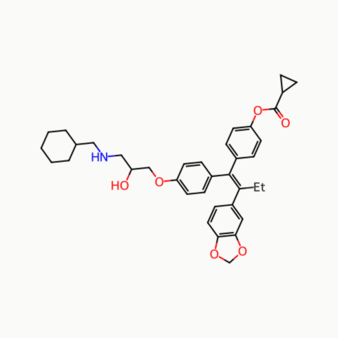 CC/C(=C(/c1ccc(OCC(O)CNCC2CCCCC2)cc1)c1ccc(OC(=O)C2CC2)cc1)c1ccc2c(c1)OCO2